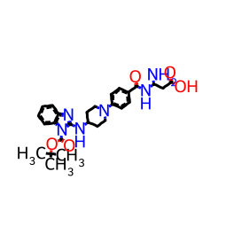 CC(C)(C)OC(=O)n1c(NC2CCN(c3ccc(C(=O)NC(N)CC(=O)O)cc3)CC2)nc2ccccc21